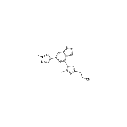 Cc1nn(CCC#N)cc1-c1nc(-c2cnn(C)c2)cc2nccn12